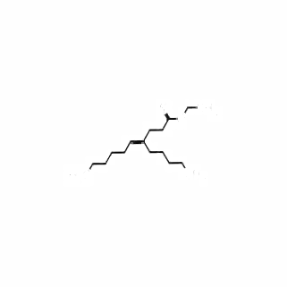 CCCCC/C=C(\CCCCC)CCC(=S)OCC